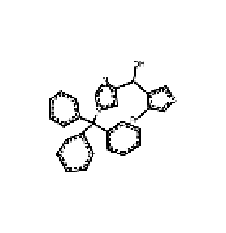 CCc1cscc1C(O)c1cn(C(c2ccccc2)(c2ccccc2)c2ccccc2)cn1